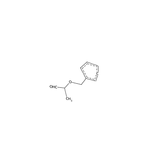 CC([C]=O)OCc1ccccc1